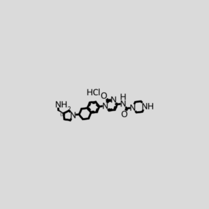 Cl.NC[C@@H]1CCN(C2CCc3cc(-n4ccc(NC(=O)N5CCNCC5)nc4=O)ccc3C2)C1